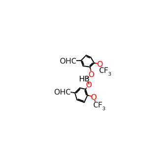 O=Cc1ccc(OC(F)(F)F)c(OBOc2cc(C=O)ccc2OC(F)(F)F)c1